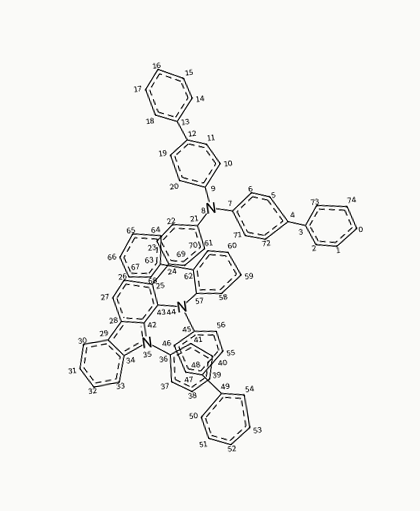 c1ccc(-c2ccc(N(c3ccc(-c4ccccc4)cc3)c3ccc(-c4ccc5c6ccccc6n(-c6ccccc6)c5c4N(c4ccc(-c5ccccc5)cc4)c4ccccc4-c4ccccc4)cc3)cc2)cc1